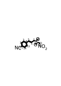 N#Cc1ccc(C=CCS(=O)(=O)C[N+](=O)[O-])cc1